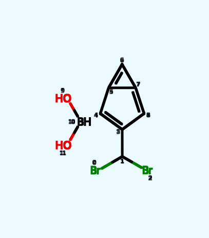 BrC(Br)c1cc2cc-2c1.OBO